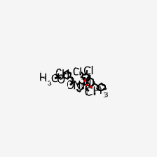 CCC1(C2(c3ccc(Cl)c(Cl)c3)CCCN(C(=O)Cc3cccc(OC(C)C)c3)C2)CC2(c3ccccc3)CCN1CC2